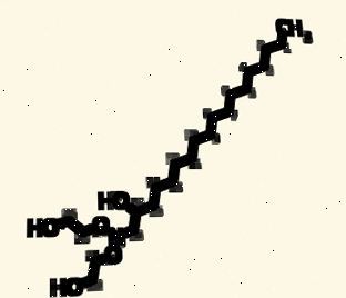 CCCCCCCCCCCCCCCCC(O)CN(OCCO)OCCO